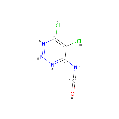 O=C=Nc1nnnc(Cl)c1Cl